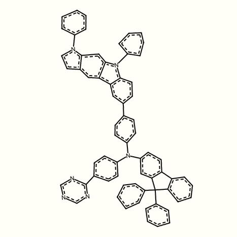 c1ccc(-n2ccc3cc4c5cc(-c6ccc(N(c7ccc(-c8ncncn8)cc7)c7ccc8c(c7)C(c7ccccc7)(c7ccccc7)c7ccccc7-8)cc6)ccc5n(-c5ccccc5)c4cc32)cc1